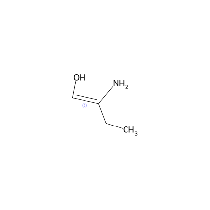 CC/C(N)=C/O